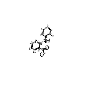 Cc1ccc[c]c1Nc1ncccc1[N+](=O)[O-]